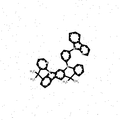 CC1(C)c2ccccc2N(c2cccc(-n3c4ccccc4c4cccnc43)c2)c2cc3c(cc21)c1cccc2c1n3-c1ncccc1C2(C)C